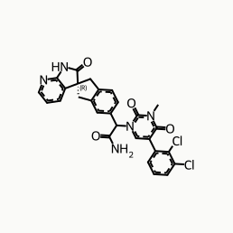 Cn1c(=O)c(-c2cccc(Cl)c2Cl)cn(C(C(N)=O)c2ccc3c(c2)C[C@@]2(C3)C(=O)Nc3ncccc32)c1=O